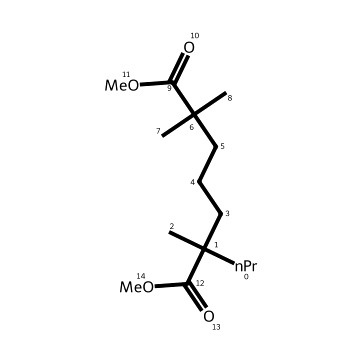 [CH2]CCC(C)(CCCC(C)(C)C(=O)OC)C(=O)OC